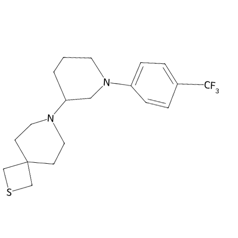 FC(F)(F)c1ccc(N2CCCC(N3CCC4(CC3)CSC4)C2)cc1